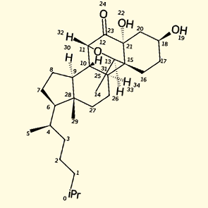 CC(C)CCC[C@@H](C)[C@H]1CC[C@H]2[C@@H]3[C@H]4O[C@H](C)[C@@]5(CC[C@H](O)C[C@]5(O)C4=O)[C@H]3CC[C@]12C